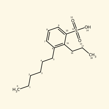 CCCCCCc1cccc(S(=O)(=O)O)c1CCC